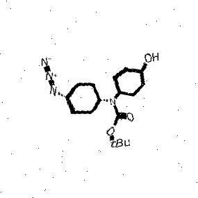 CC(C)(C)OC(=O)N(C1CCC(O)CC1)[C@H]1CC[C@@H](N=[N+]=[N-])CC1